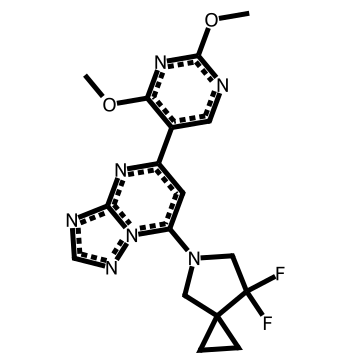 COc1ncc(-c2cc(N3CC(F)(F)C4(CC4)C3)n3ncnc3n2)c(OC)n1